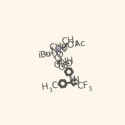 CC[C@@H](C)[C@@H](COC(=O)NS(=O)(=O)c1ccc(-n2nc(C(F)(F)F)cc2-c2ccc(C)cc2)cc1)N(C)/[N+]([O-])=N/OC(C)OC(C)=O